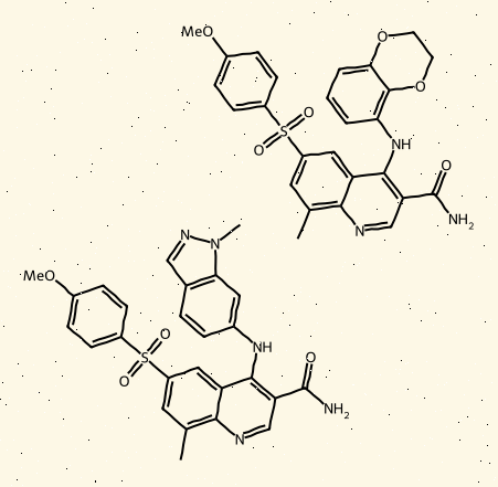 COc1ccc(S(=O)(=O)c2cc(C)c3ncc(C(N)=O)c(Nc4ccc5cnn(C)c5c4)c3c2)cc1.COc1ccc(S(=O)(=O)c2cc(C)c3ncc(C(N)=O)c(Nc4cccc5c4OCCO5)c3c2)cc1